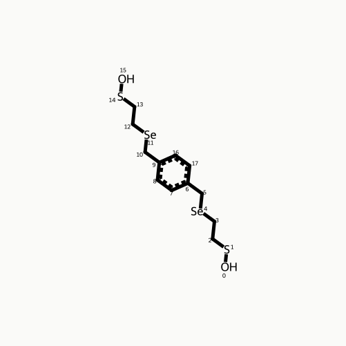 OSCC[Se]Cc1ccc(C[Se]CCSO)cc1